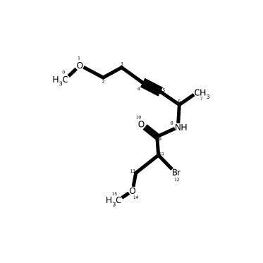 COCCC#CC(C)NC(=O)C(Br)COC